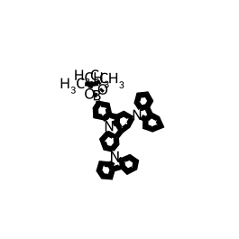 CC1(C)OB(c2ccc3c(c2)c2cc(-n4c5ccccc5c5ccccc54)cc4c5cc(-n6c7ccccc7c7ccccc76)ccc5n3c24)OC1(C)C